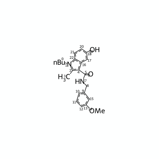 CCCCn1c(C)c(C(=O)NCc2cccc(OC)c2)c2cc(O)ccc21